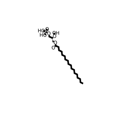 CCCCCCCCCCCCCCCCCC(=O)OC[C@H](COP(=O)(O)O)OO